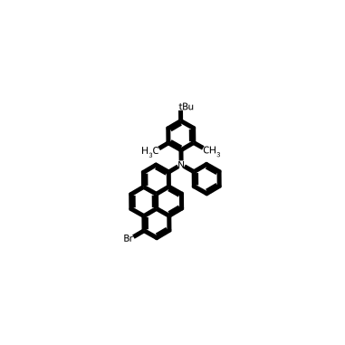 Cc1cc(C(C)(C)C)cc(C)c1N(c1ccccc1)c1ccc2ccc3c(Br)ccc4ccc1c2c43